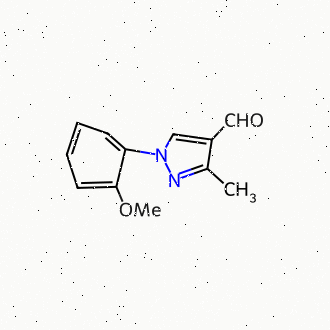 COc1ccccc1-n1cc(C=O)c(C)n1